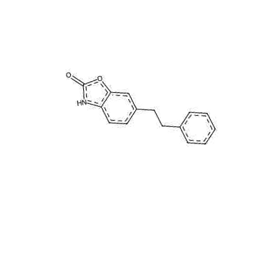 O=c1[nH]c2ccc(CCc3ccccc3)cc2o1